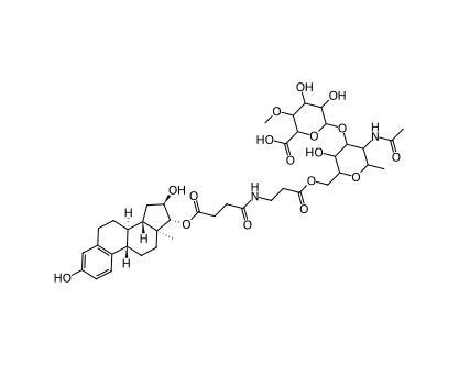 COC1C(C(=O)O)OC(OC2C(O)C(COC(=O)CCNC(=O)CCC(=O)O[C@H]3[C@H](O)C[C@H]4[C@@H]5CCc6cc(O)ccc6[C@H]5CC[C@@]43C)OC(C)C2NC(C)=O)C(O)C1O